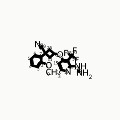 COc1ccccc1C1(C#N)CC(Oc2ccnc(NN)c2C(F)(F)F)C1